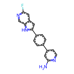 Nc1cc(-c2ccc(-c3cc4cc(F)ncc4[nH]3)cc2)ccn1